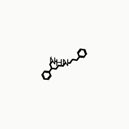 CN(C)CC(CCCNCCCc1ccccc1)c1ccccc1